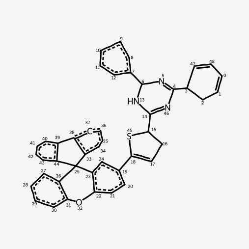 C1=CCC(C2=NC(c3ccccc3)NC(C3CC=C(c4ccc5c(c4)C4(c6ccccc6O5)c5ccccc5-c5ccccc54)S3)=N2)C=C1